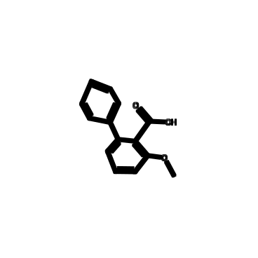 COc1cccc(-c2ccccc2)c1C(=O)O